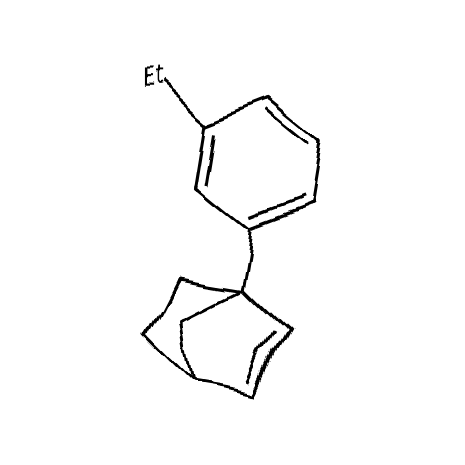 CCc1cccc(C23C=CC(CC2)C3)c1